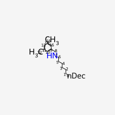 CCCCCCCCCCCCCCCCNCc1cc(C)cc(C)c1